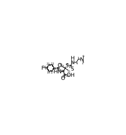 CN(C)CCNC(=S)SC(C)(C)[C@H](NC(=O)c1ccc(F)cc1)C(=O)O